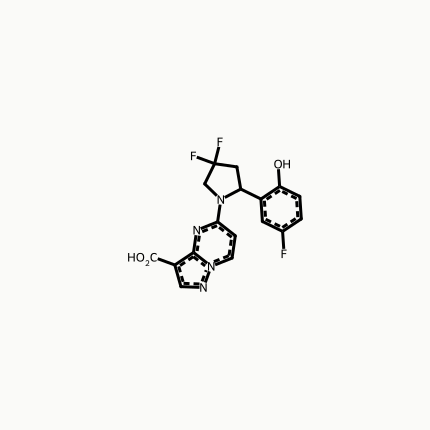 O=C(O)c1cnn2ccc(N3CC(F)(F)CC3c3cc(F)ccc3O)nc12